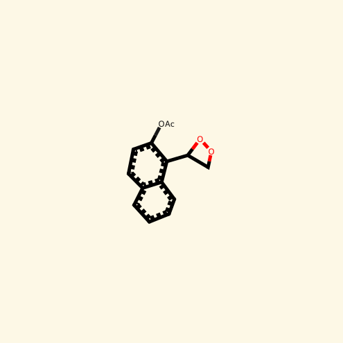 CC(=O)Oc1ccc2ccccc2c1C1COO1